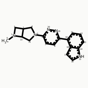 CN1CC2CN(c3ccc(-c4cccc5[nH]ccc45)nn3)CC21